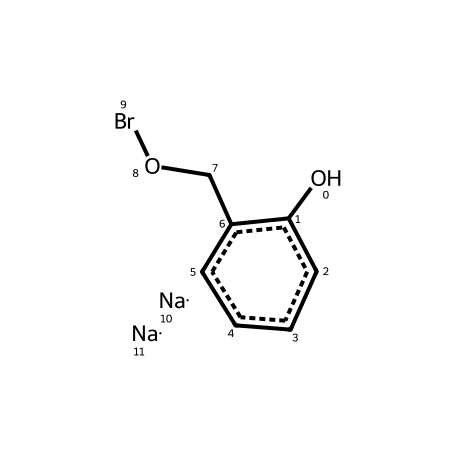 Oc1ccccc1COBr.[Na].[Na]